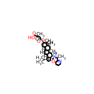 C=C(C)[C@@H]1CC[C@]2(C(=O)NC(C)c3ccccn3)CC[C@]3(C)[C@H](CC[C@@H]4[C@@]5(C)CC[C@H](OC(=O)CC(C)(C)C(=O)O)C(C)(C)[C@@H]5CC[C@]43C)[C@@H]12